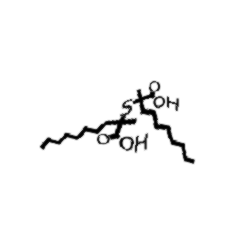 CCCCCCCCC(C)(SC(C)(CCCCCCCC)C(=O)O)C(=O)O